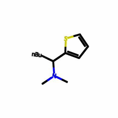 CCCCC(c1cccs1)N(C)C